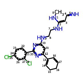 CN/C(=C\C=N)NCCNc1cc(C2=CCCC=C2)nc(-c2ccc(Cl)cc2Cl)n1